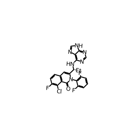 CC[C@@H](Nc1ncnc2[nH]cnc12)c1cc2ccc(F)c(Cl)c2c(=O)n1-c1c(F)cccc1F